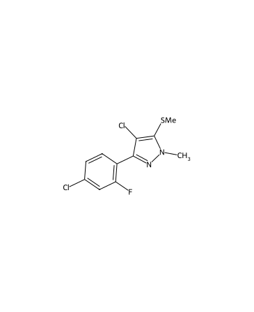 CSc1c(Cl)c(-c2ccc(Cl)cc2F)nn1C